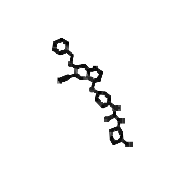 N#Cc1cc2c(Oc3ccc(NC(=O)Nc4cccc(S)c4)cc3)ccnc2cc1OCc1ccccc1